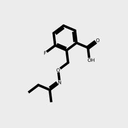 CCC(C)=NOCc1c(F)cccc1C(=O)O